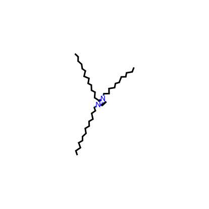 CCCCCCCCCCCCCC[n+]1ccn(CCCCCCCCCCC)c1CCCCCCCCCCCCC